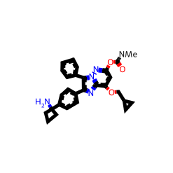 CNC(=O)Oc1cc(OCC2CC2)c2nc(-c3ccc(C4(N)CCC4)cc3)c(-c3ccccc3)n2n1